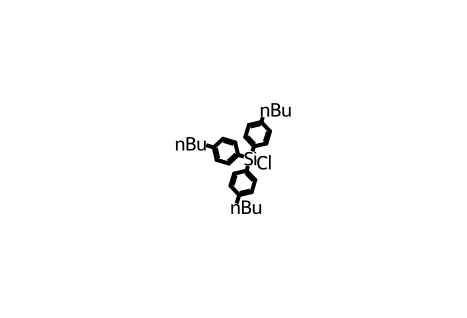 CCCCc1ccc([Si](Cl)(c2ccc(CCCC)cc2)c2ccc(CCCC)cc2)cc1